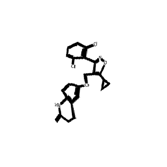 C=C1CCc2cc(OCc3c(-c4c(Cl)cccc4Cl)noc3C3CC3)ccc2N1